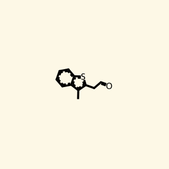 Cc1c(CC=O)sc2ccccc12